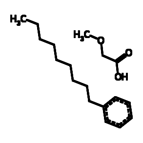 CCCCCCCCCc1ccccc1.COCC(=O)O